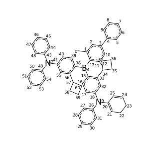 Cc1cc(-c2ccccc2)cc(C)c1B(c1ccc(N(C2=CCCC=C2)c2ccccc2)cc1C1CCC1)c1ccc(N(c2ccccc2)c2ccccc2)cc1C1CCC1